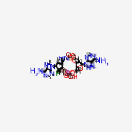 Nc1ncnc2c1ncn2[C@@H]1C[C@@H]2CNS(=O)(=O)O[C@H]3C[C@H](n4nnc5c(N)ncnc54)O[C@@H]3COP(=O)(O)O[C@H]2[C@H]1F